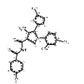 Cc1c(C(=O)NC(=O)c2ccc(Cl)cc2)nn(-c2ccc(Cl)cc2Cl)c1-c1ccc(Cl)s1